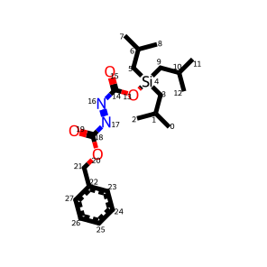 CC(C)C[Si](CC(C)C)(CC(C)C)OC(=O)N=NC(=O)OCc1ccccc1